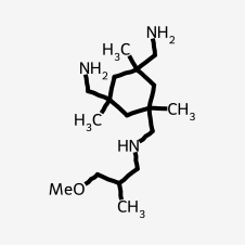 COCC(C)CNCC1(C)CC(C)(CN)CC(C)(CN)C1